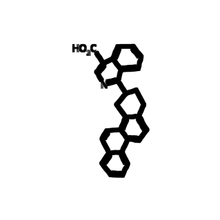 O=C(O)c1cnc(C2CCc3ccc4c(ccc5ccccc54)c3C2)c2ccccc12